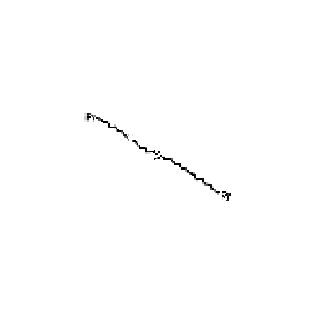 CC(C)CCCCCCCCCCCCCCCOCCCCCCCCCCCCCCCC(C)C